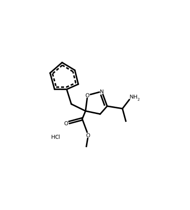 COC(=O)C1(Cc2ccccc2)CC(C(C)N)=NO1.Cl